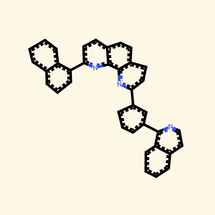 c1cc(-c2ccc3ccc4ccc(-c5cccc6ccccc56)nc4c3n2)cc(-c2nccc3ccccc23)c1